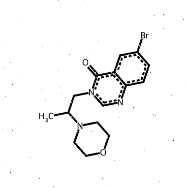 CC(Cn1cnc2ccc(Br)cc2c1=O)N1CCOCC1